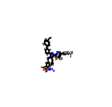 Cc1ccc(-c2cccc(-c3nn(-c4nc(C(=O)O)cs4)c(C4CC4)c3Cc3ccc([SH](C)(N)=O)c(C)c3)c2)cc1